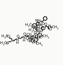 COCCN(CCNC(=O)CCNC(=O)C(C)(C)NC(=O)C(C)(C)NC(=O)[C@H](CC(C)C)NC(=O)[C@H](CC(C)C)NC(=O)C(C)(C)NC(=O)[C@@H](CC(C)C)C(N)[C@H](CCC1CCCCC1)NC(=O)[C@@H]1CCCN1C(=O)c1coc(C)n1)CCOC